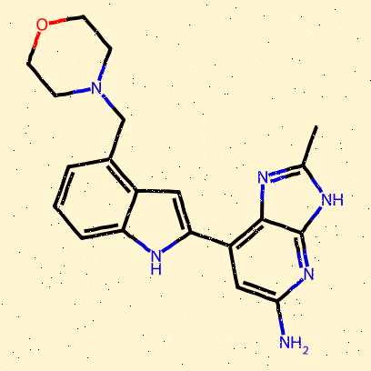 Cc1nc2c(-c3cc4c(CN5CCOCC5)cccc4[nH]3)cc(N)nc2[nH]1